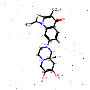 CC1Sc2c(C(=O)O)c(=O)c3cc(F)c(N4CCN5CC(O)=C(O)C[C@H]5C4)cc3n21